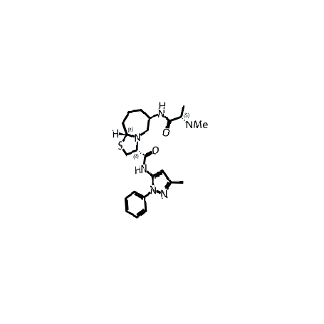 CN[C@@H](C)C(=O)NC1CCC[C@H]2SC[C@@H](C(=O)Nc3cc(C)nn3-c3ccccc3)N2C1